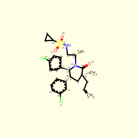 C=CC[C@@]1(C)C[C@H](c2cccc(Cl)c2)[C@@H](c2ccc(Cl)cc2)N([C@H](CNS(=O)(=O)C2CC2)C(C)C)C1=O